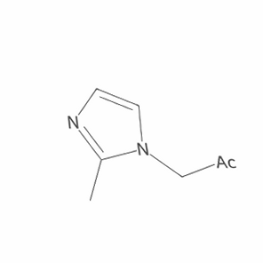 CC(=O)Cn1ccnc1C